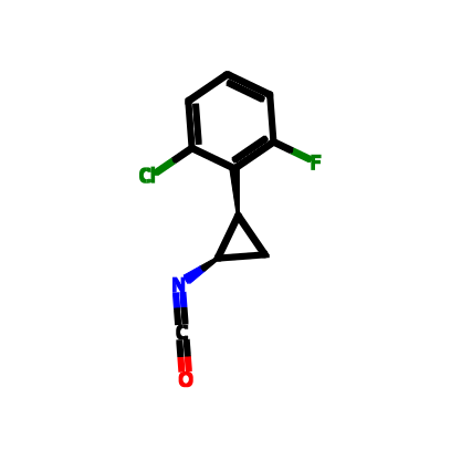 O=C=N[C@@H]1C[C@@H]1c1c(F)cccc1Cl